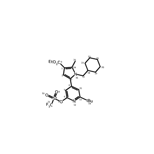 CCOC(=O)c1cc(-c2cc(OS(=O)(=O)C(F)(F)F)nc(C(C)(C)C)c2)n(CC2CCCCC2)c1C